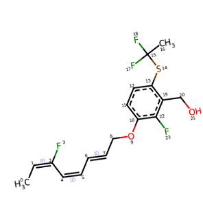 C\C=C(F)/C=C\C=C\COc1ccc(SC(C)(F)F)c(CO)c1F